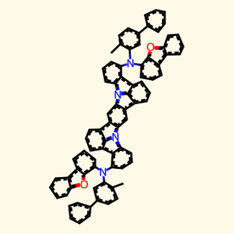 Cc1ccc(-c2ccccc2)cc1N(c1cccc2c1oc1ccccc12)c1cccc2c1c1cccc3c4cc5c(cc4n2c31)c1cccc2c3c(N(c4cc(-c6ccccc6)ccc4C)c4cccc6c4oc4ccccc46)cccc3n5c12